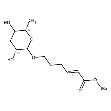 C[C@@H]1OC(OCCC/C=C/C(=O)OC(C)(C)C)[C@H](O)CC1O